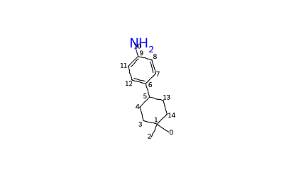 CC1(C)CCC(c2ccc(N)cc2)CC1